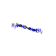 CCN(CN)c1ccc(/N=N/C2=C/C=C\C(/C=C/c3ccc(/N=N/c4ccc(N(CC)CN)cc4)cc3)C/C=C\2)cc1